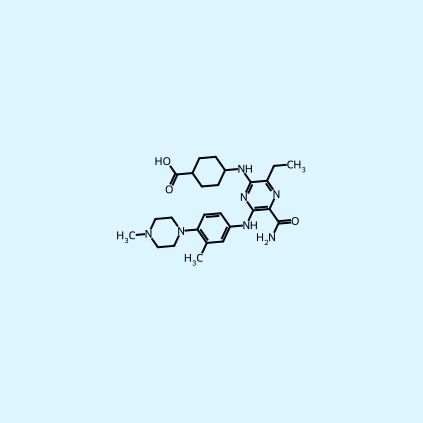 CCc1nc(C(N)=O)c(Nc2ccc(N3CCN(C)CC3)c(C)c2)nc1NC1CCC(C(=O)O)CC1